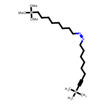 CO[Si](CCCCCCCC/N=N\CCCCCCC#C[Si](C)(C)C)(OC)OC